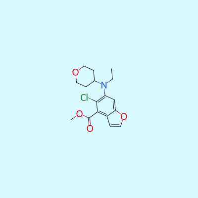 CCN(c1cc2occc2c(C(=O)OC)c1Cl)C1CCOCC1